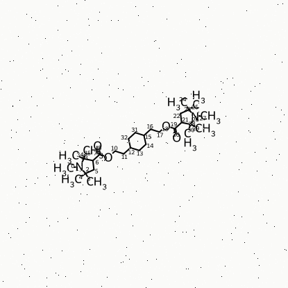 CN1C(C)(C)CC(C(=O)OCCC2CCC(CCOC(=O)C3CC(C)(C)N(C)C3(C)C)CC2)C1(C)C